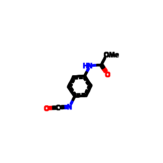 COC(=O)Nc1ccc(N=C=O)cc1